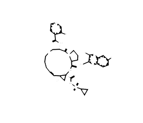 CCc1nc2ccc(F)cc2nc1O[C@@H]1C[C@H]2C(=O)N[C@]3(C(=O)NS(=O)(=O)C4CC4)C[C@H]3/C=C\CCCCC[C@H](NC(=O)c3ccncc3F)C(=O)N2C1